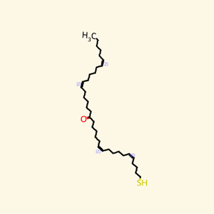 CCCCC/C=C\CCCC/C=C\CCCCCC(=O)CCCCC/C=C\CCCC/C=C\CCCCS